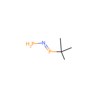 CC(C)(C)P=NP